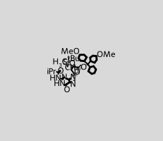 COc1ccc(C(OC[C@H]2O[C@@H](n3cnc4c(=O)[nH]c(NC(=O)C(C)C)nc43)C[C@@H]2O[Si](C)(C)C(C)(C)C)(c2ccccc2)c2ccc(OC)cc2)cc1